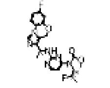 C[C@H](Nc1nccc(N2C(=O)OC[C@@H]2[C@H](C)F)n1)c1ncn2c1COc1cc(F)ccc1-2